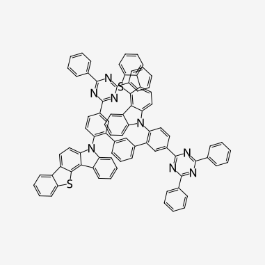 c1ccc(-c2nc(-c3ccccc3)nc(-c3ccc(-n4c5ccccc5c5c6sc7ccccc7c6ccc54)c(-c4cccc(-c5cc(-c6nc(-c7ccccc7)nc(-c7ccccc7)n6)ccc5-n5c6ccccc6c6c7sc8ccccc8c7ccc65)c4)c3)n2)cc1